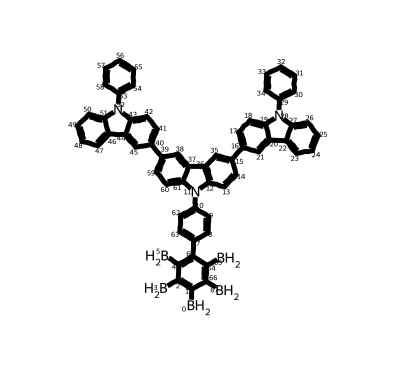 Bc1c(B)c(B)c(-c2ccc(-n3c4ccc(-c5ccc6c(c5)c5ccccc5n6-c5ccccc5)cc4c4cc(-c5ccc6c(c5)c5ccccc5n6-c5ccccc5)ccc43)cc2)c(B)c1B